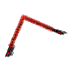 O=S(=O)([O-])[O-].O=S(=O)([O-])[O-].O=S(=O)([O-])[O-].O=S(=O)([O-])[O-].O=S(=O)([O-])[O-].O=S(=O)([O-])[O-].O=S(=O)([O-])[O-].O=S(=O)([O-])[O-].O=S(=O)([O-])[O-].O=S(=O)([O-])[O-].O=S(=O)([O-])[O-].O=S(=O)([O-])[O-].O=S(=O)([O-])[O-].O=S(=O)([O-])[O-].O=S(=O)([O-])[O-].O=S(=O)([O-])[O-].O=S(=O)([O-])[O-].O=S(=O)([O-])[O-].O=S(=O)([O-])[O-].O=S(=O)([O-])[O-].O=S(=O)([O-])[O-].O=S(=O)([O-])[O-].O=S(=O)([O-])[O-].[Al+3].[Al+3].[Ca+2].[Ca+2].[Ca+2].[Ca+2].[Ca+2].[Fe+3].[Fe+3].[Fe+3].[Fe+3].[Fe+3].[Na+].[Na+].[Na+].[Na+].[Na+].[Na+].[Na+].[Na+].[Na+].[Na+].[Na+].[Na+].[Na+].[Na+].[Na+]